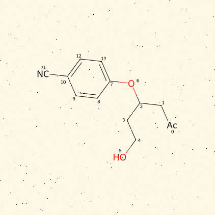 CC(=O)CC(CCO)Oc1ccc(C#N)cc1